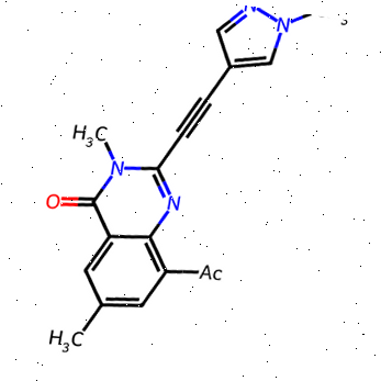 CC(=O)c1cc(C)cc2c(=O)n(C)c(C#Cc3cnn(C)c3)nc12